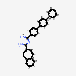 N=C(/N=C(\N)C1=CCc2ccccc2C=C1)c1ccc(-c2ccc(-c3ccccc3)cc2)cc1